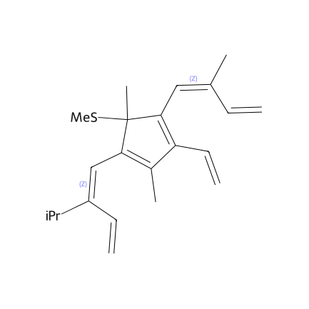 C=CC1=C(/C=C(/C)C=C)C(C)(SC)C(/C=C(\C=C)C(C)C)=C1C